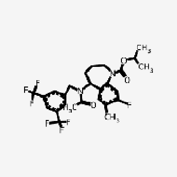 CC(=O)N(Cc1cc(C(F)(F)F)cc(C(F)(F)F)c1)C1CCCN(C(=O)OC(C)C)c2cc(F)c(C)cc21